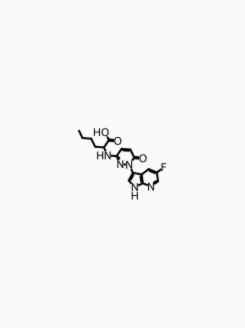 CCCCC(Nc1ccc(=O)n(-c2c[nH]c3ncc(F)cc23)n1)C(=O)O